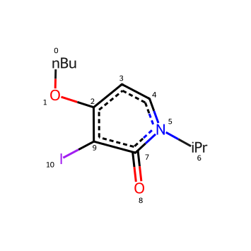 CCCCOc1ccn(C(C)C)c(=O)c1I